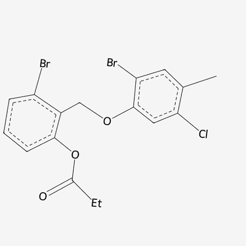 CCC(=O)Oc1cccc(Br)c1COc1cc(Cl)c(C)cc1Br